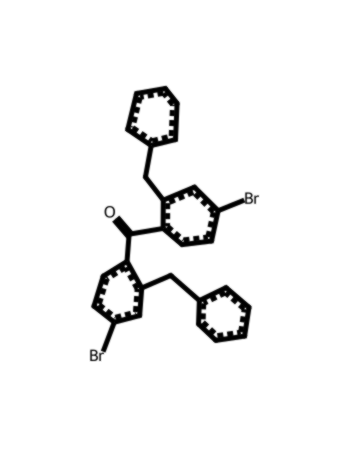 O=C(c1ccc(Br)cc1Cc1ccccc1)c1ccc(Br)cc1Cc1ccccc1